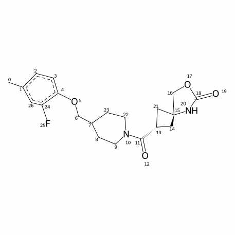 Cc1ccc(OCC2CCN(C(=O)[C@H]3C[C@]4(COC(=O)N4)C3)CC2)c(F)c1